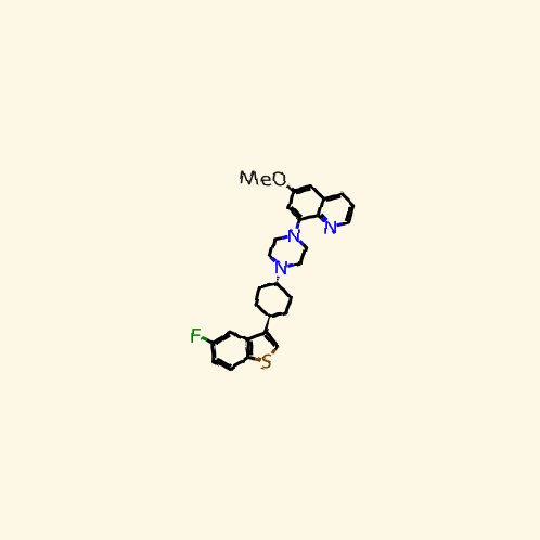 COc1cc(N2CCN([C@H]3CC[C@H](c4csc5ccc(F)cc54)CC3)CC2)c2ncccc2c1